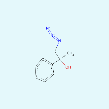 C[C@@](O)(CN=[N+]=[N-])c1ccccc1